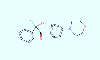 CCC(O)(C(=O)c1ccc(N2CCOCC2)cc1)c1ccccc1